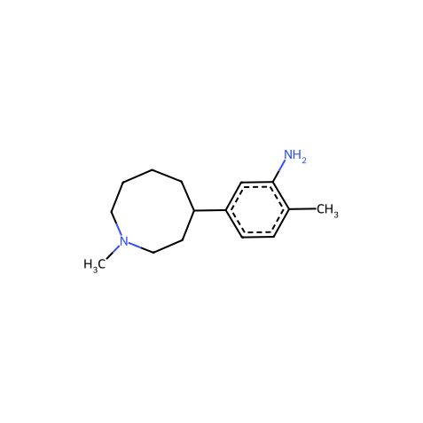 Cc1ccc(C2CCCCN(C)CC2)cc1N